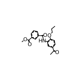 CCCOc1ccc(C(C)=O)cc1NC(=O)c1cccc(C(=O)OC)c1